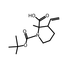 C=CC1CCCN(C(=O)OC(C)(C)C)C1(C)C(=O)O